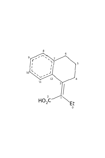 CCC(C(=O)O)=C1CCCc2ccccc21